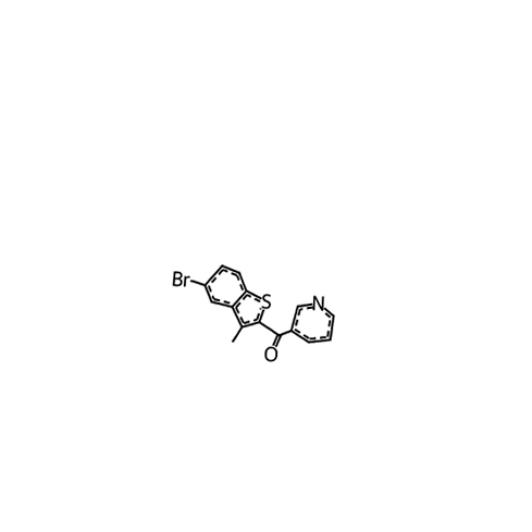 Cc1c(C(=O)c2cccnc2)sc2ccc(Br)cc12